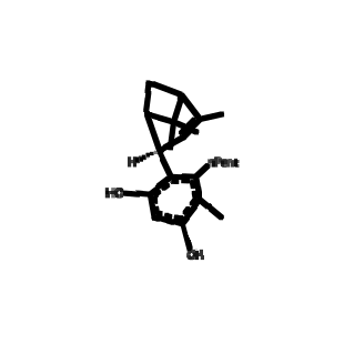 CCCCCc1c(C)c(O)cc(O)c1[C@@H]1C=C(C)C2CC1C2(C)C